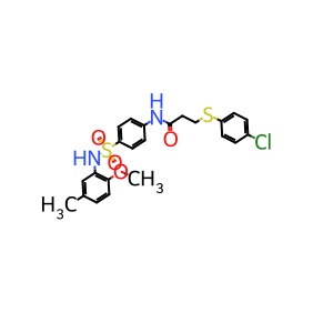 COc1ccc(C)cc1NS(=O)(=O)c1ccc(NC(=O)CCSc2ccc(Cl)cc2)cc1